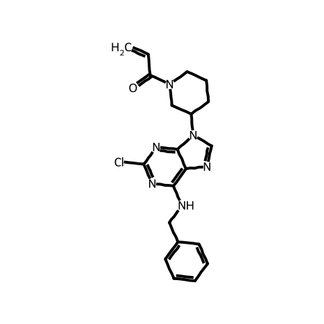 C=CC(=O)N1CCCC(n2cnc3c(NCc4ccccc4)nc(Cl)nc32)C1